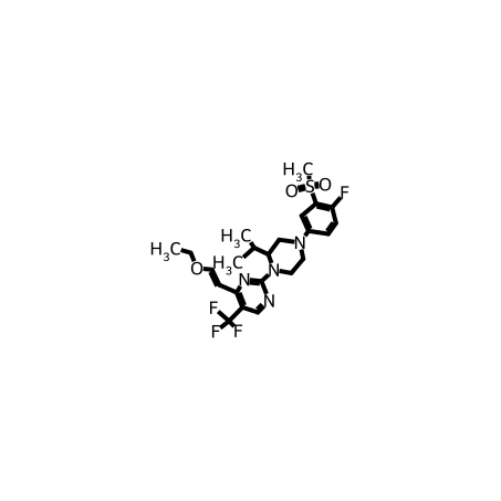 CCOC=Cc1nc(N2CCN(c3ccc(F)c(S(C)(=O)=O)c3)CC2C(C)C)ncc1C(F)(F)F